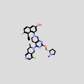 C#Cc1c(F)ccc2cc(O)cc(N3CCc4c(nc(OC[C@@H]5CCCN5C)nc4N4Cc5c(F)cncc5CC4C)C3)c12